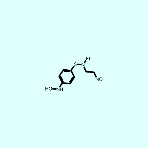 CCN(CCN=O)Sc1ccc(NO)cc1